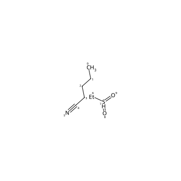 CCCCC#N.CC[SH](=O)=O